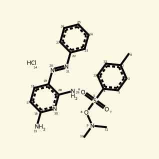 Cc1ccc(S(=O)(=O)ON(C)C)cc1.Cl.Nc1ccc(/N=N/c2ccccc2)c(N)n1